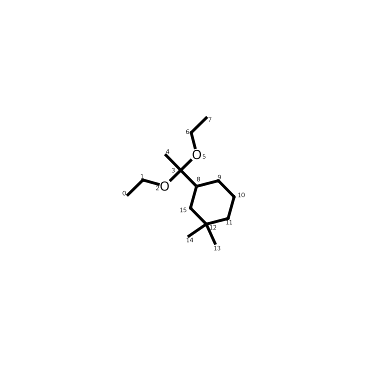 CCOC(C)(OCC)C1CCCC(C)(C)C1